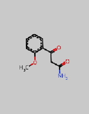 COc1ccccc1C(=O)CC(N)=O